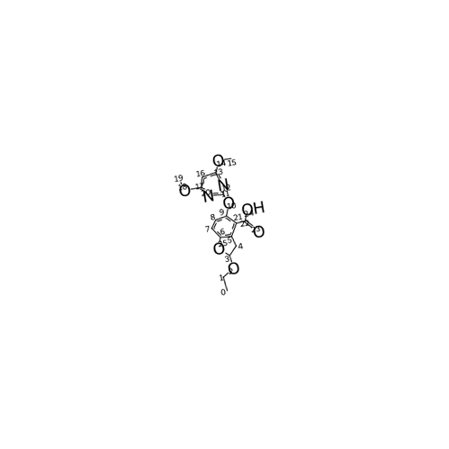 CCOC1Cc2c(ccc(Oc3nc(OC)cc(OC)n3)c2C(=O)O)O1